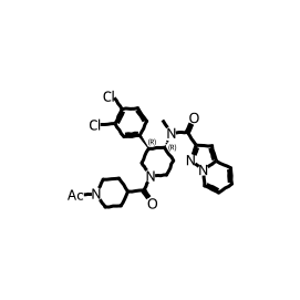 CC(=O)N1CCC(C(=O)N2CC[C@@H](N(C)C(=O)c3cc4ccccn4n3)[C@H](c3ccc(Cl)c(Cl)c3)C2)CC1